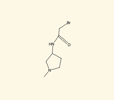 CN1CCC(NC(=O)CBr)C1